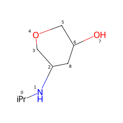 CC(C)NC1COCC(O)C1